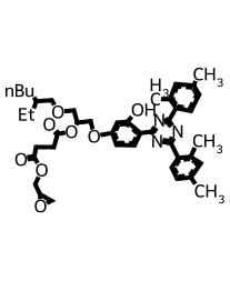 CCCCC(CC)COCC(COc1ccc(-c2nc(-c3ccc(C)cc3C)nc(-c3ccc(C)cc3C)n2)c(O)c1)OC(=O)CCC(=O)OCC1CO1